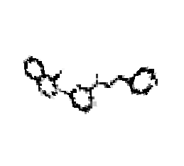 O=c1c2ccccc2nnn1-c1ccnc(NCCc2ccncc2)n1